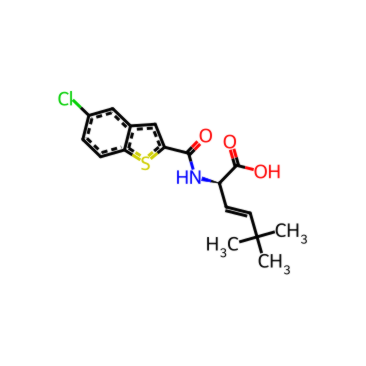 CC(C)(C)/C=C/[C@@H](NC(=O)c1cc2cc(Cl)ccc2s1)C(=O)O